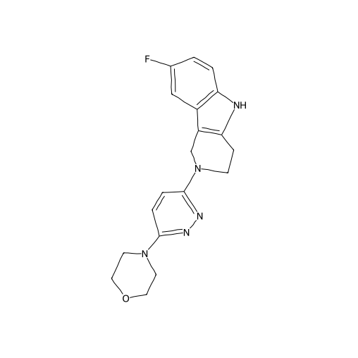 Fc1ccc2[nH]c3c(c2c1)CN(c1ccc(N2CCOCC2)nn1)CC3